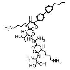 CCCCc1ccc(-c2ccc(C(=O)N[C@H](CCCCN)C(=O)N[C@H](C(=O)N[C@@H](N)C(=O)N[C@@H](CCCCN)C(=O)N[C@@H](N)B(O)O)C(C)O)cc2)cc1